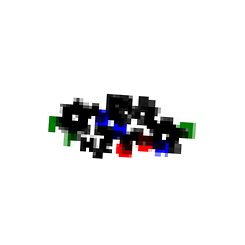 C[C@@H]1CN(Cc2ccc(F)c(F)c2)[C@@H](C)CN1C(=O)COc1ncc(Cl)cc1CCS(=O)(=O)O